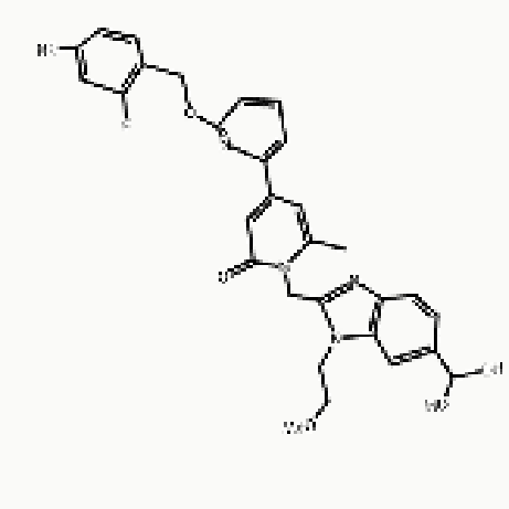 COCCn1c(Cn2c(C)cc(-c3cccc(OCc4ccc(C#N)cc4F)n3)cc2=O)nc2ccc(C(O)O)cc21